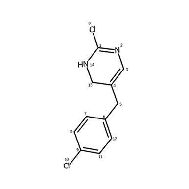 ClC1=NC=C(Cc2ccc(Cl)cc2)CN1